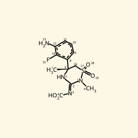 CN1/C(=N/C(=O)O)N[C@](C)(c2cccc(N)c2F)CS1(=O)=O